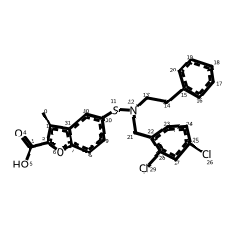 Cc1c(C(=O)O)oc2ccc(SN(CCc3ccccc3)Cc3ccc(Cl)cc3Cl)cc12